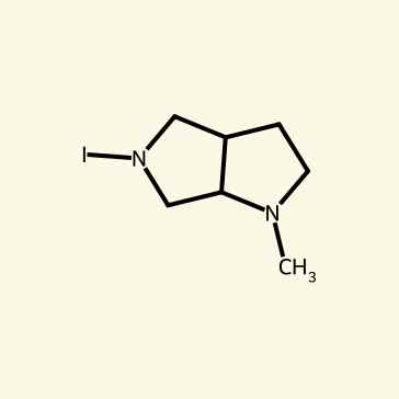 CN1CCC2CN(I)CC21